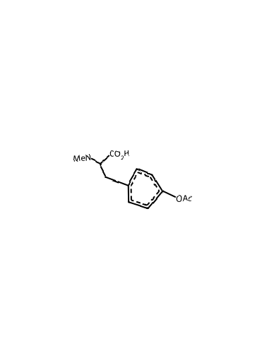 CNC(Cc1ccc(OC(C)=O)cc1)C(=O)O